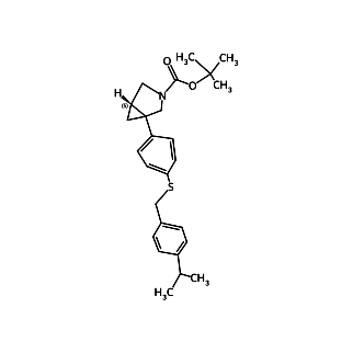 CC(C)c1ccc(CSc2ccc(C34C[C@@H]3CN(C(=O)OC(C)(C)C)C4)cc2)cc1